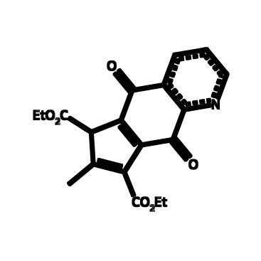 CCOC(=O)C1=C(C)C(C(=O)OCC)C2=C1C(=O)c1ncccc1C2=O